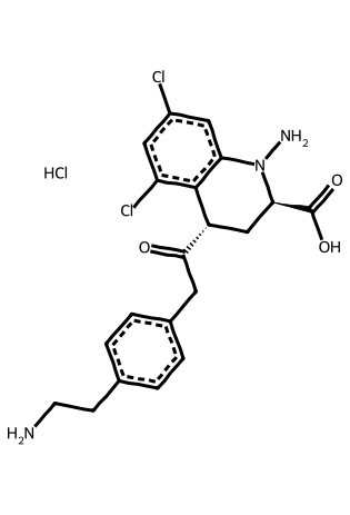 Cl.NCCc1ccc(CC(=O)[C@H]2C[C@H](C(=O)O)N(N)c3cc(Cl)cc(Cl)c32)cc1